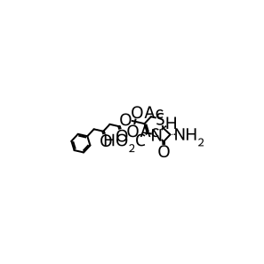 CC(=O)OC(OC(C)=O)(OC(=O)CC(=O)Cc1ccccc1)C1=C(C(=O)O)N2C(=O)[C@@H](N)[C@H]2SC1